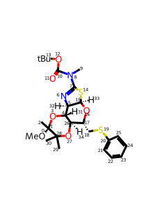 CO[C@@]1(C)O[C@@H]2[C@H]3N=C(N(C)C(=O)OC(C)(C)C)S[C@H]3O[C@H](CSc3ccccc3)[C@H]2OC1(C)C